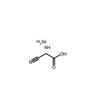 N#CCC(=O)O.[KH].[SeH2]